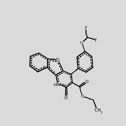 CCOC(=O)c1c(-c2cccc(OC(F)F)c2)c2oc3ccccc3c2[nH]c1=O